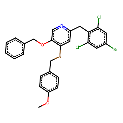 COc1ccc(CSc2cc(Cc3c(Cl)cc(Br)cc3Cl)ncc2OCc2ccccc2)cc1